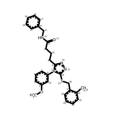 COc1cccc(-n2c(CCCC(=O)NCc3ccccc3)nnc2SCc2ccccc2C)c1